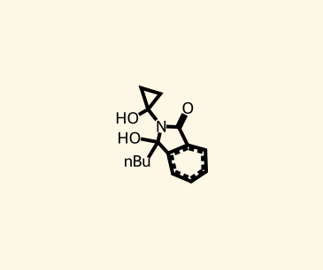 CCCCC1(O)c2ccccc2C(=O)N1C1(O)CC1